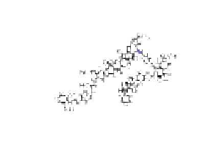 CC(C)(O/N=C(\C(=O)N[C@@H]1C(=O)N2C(C(=O)[O-])=C(C[n+]3ccccc3)CS[C@H]12)c1csc(N)n1)C(=O)O.COc1ccc2c(c1)C(=O)N(CCc1ccc(S(=O)(=O)NC(=O)NC3CCCCC3)cc1)C(=O)C2(C)C.COc1ccccc1OCC(O)CN1CCN(CC(=O)Nc2c(C)cccc2C)CC1